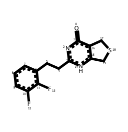 O=c1nc(CCc2cccc(F)c2F)[nH]c2c1CSC2